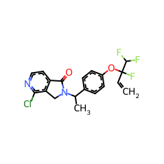 C=CC(F)(Oc1ccc(C(C)N2Cc3c(ccnc3Cl)C2=O)cc1)C(F)F